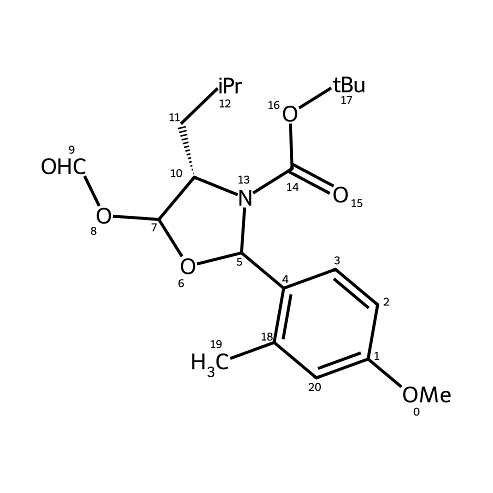 COc1ccc(C2OC(OC=O)[C@H](CC(C)C)N2C(=O)OC(C)(C)C)c(C)c1